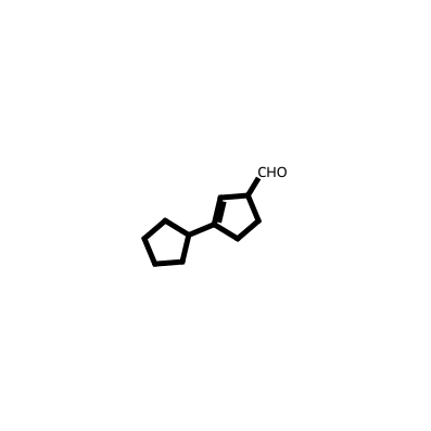 O=CC1C=C(C2CCCC2)CC1